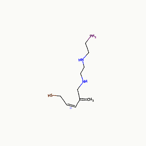 C=C(/C=C\CS)CNCCNCCP